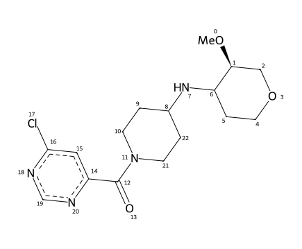 CO[C@H]1COCCC1NC1CCN(C(=O)c2cc(Cl)ncn2)CC1